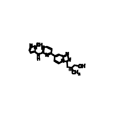 C[C@H](CO)Cc1nnc2cc(-c3ccnc(Nc4ccnn4C)n3)ccn12